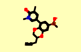 COCC1COc2c(cc([S+](C)[O-])cc2-c2cc(C)c(=O)n(C)c2)O1